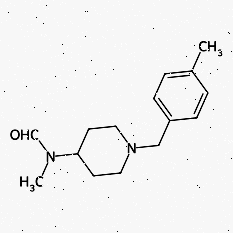 Cc1ccc(CN2CCC(N(C)C=O)CC2)cc1